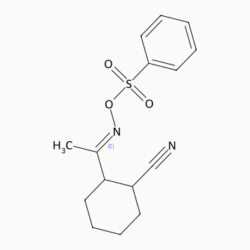 C/C(=N\OS(=O)(=O)c1ccccc1)C1CCCCC1C#N